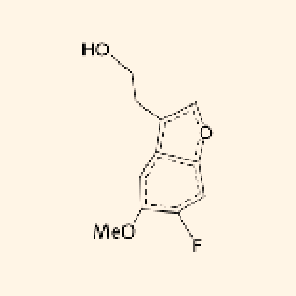 COc1cc2c(CCO)coc2cc1F